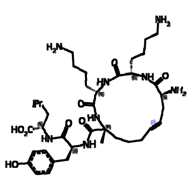 CC(C)C[C@H](NC(=O)[C@H](Cc1ccc(O)cc1)NC(=O)[C@@]1(C)CCC/C=C/C[C@H](N)C(=O)N[C@@H](CCCCN)C(=O)N[C@@H](CCCCN)C(=O)N1)C(=O)O